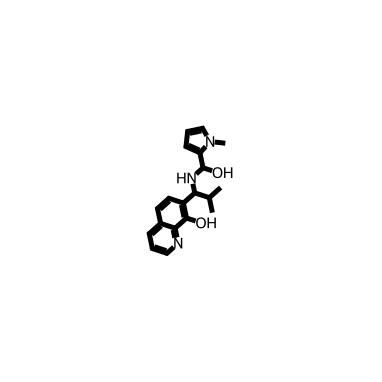 CC(C)C(NC(O)c1cccn1C)c1ccc2cccnc2c1O